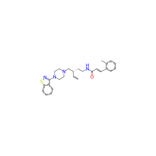 C=C[C@@H](CCNC(=O)/C=C/c1ccccc1C)CN1CCN(c2nsc3ccccc23)CC1